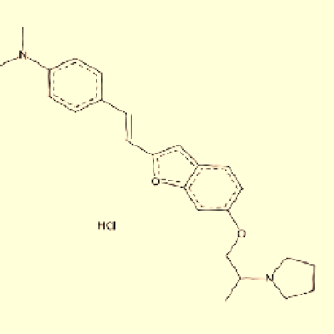 CC(COc1ccc2cc(/C=C/c3ccc(N(C)C)cc3)oc2c1)N1CCCC1.Cl